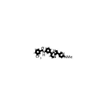 CNc1ccc(-c2cnn3c(-c4cccc(NC(=O)c5cccc(C(F)(F)F)c5)c4)ccnc23)cn1